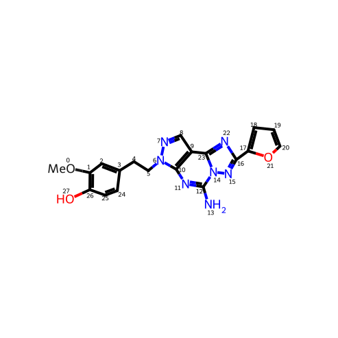 COc1cc(CCn2ncc3c2nc(N)n2nc(-c4ccco4)nc32)ccc1O